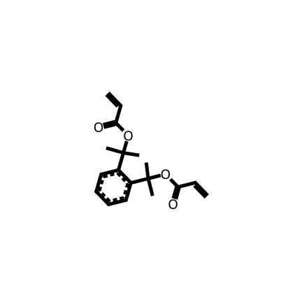 C=CC(=O)OC(C)(C)c1ccccc1C(C)(C)OC(=O)C=C